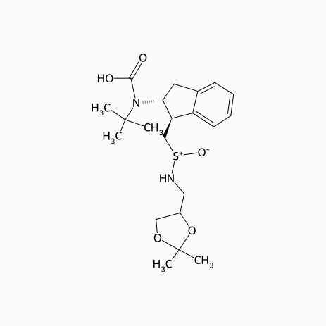 CC1(C)OCC(CN[S+]([O-])C[C@@H]2c3ccccc3C[C@H]2N(C(=O)O)C(C)(C)C)O1